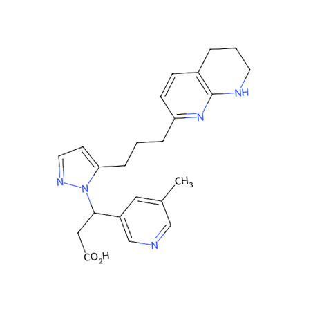 Cc1cncc(C(CC(=O)O)n2nccc2CCCc2ccc3c(n2)NCCC3)c1